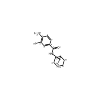 Nc1ccc(C(=O)NC2CN3CCC2CC3)cc1I